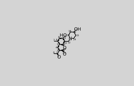 CC(=O)c1cc2c(C)cc(O)c(CN3CCC(O)CC3)c2oc1=O